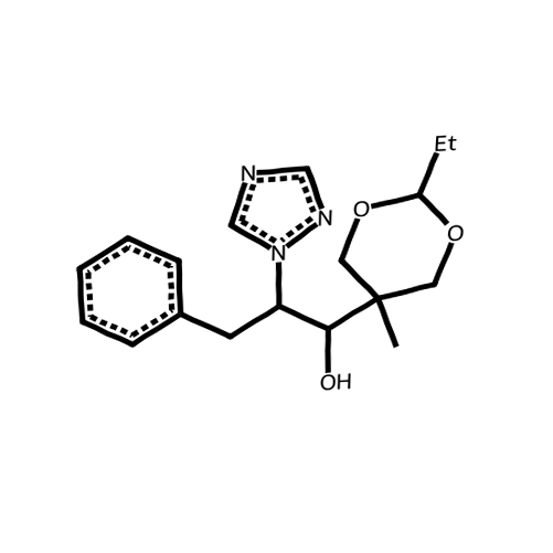 CCC1OCC(C)(C(O)C(Cc2ccccc2)n2cncn2)CO1